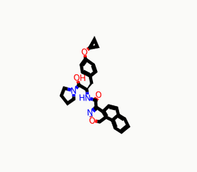 O=C(N[C@H](Cc1ccc(OC2CC2)cc1)C(O)N1CCCC1)C1=NOCc2c1ccc1ccccc21